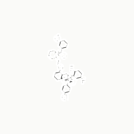 COc1cccc(C(=O)N2CCCCC2CCOc2ccccc2CN(c2cc(F)ccc2F)S(=O)(=O)c2ccc(Cl)cc2)c1